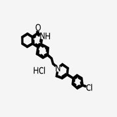 Cl.O=c1[nH]c2cc(CCN3CC=C(c4ccc(Cl)cc4)CC3)ccc2c2c1CCCC2